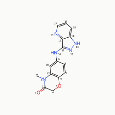 CN1C(=O)COc2ccc(Nc3n[nH]c4cccnc34)cc21